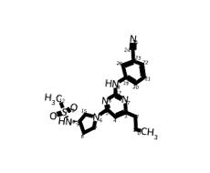 CCCc1cc(N2CC[C@H](NS(C)(=O)=O)C2)nc(Nc2cccc(C#N)c2)n1